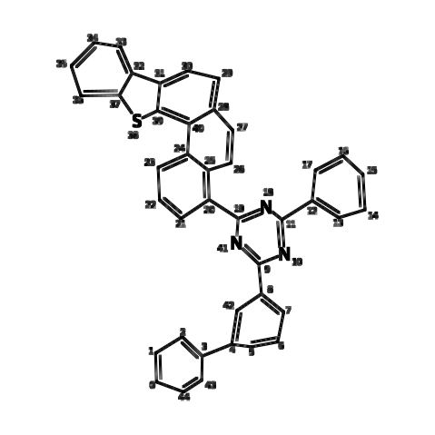 c1ccc(-c2cccc(-c3nc(-c4ccccc4)nc(-c4cccc5c4ccc4ccc6c7ccccc7sc6c45)n3)c2)cc1